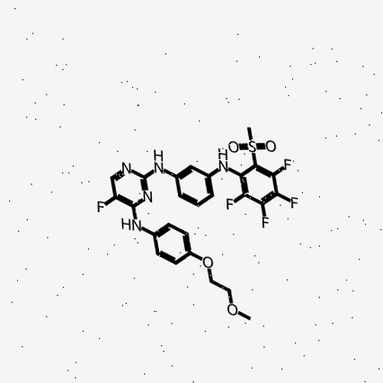 COCCOc1ccc(Nc2nc(Nc3cccc(Nc4c(F)c(F)c(F)c(F)c4S(C)(=O)=O)c3)ncc2F)cc1